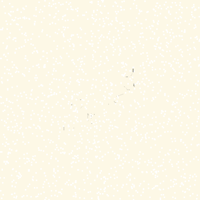 O=C(/C=C/c1ccc(F)cc1)OCCC[N@@+]([O-])(CCCO)Cc1ccccc1